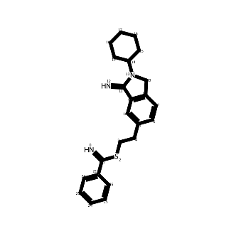 N=C(SCCc1ccc2c(c1)C(=N)N(C1CCCCC1)C2)c1ccccc1